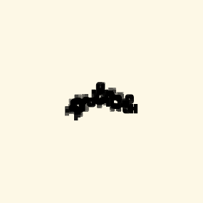 O=C(O)N1CCN2c3cc(OCc4ccc(F)c(F)c4)nc(=O)n3CC2C1